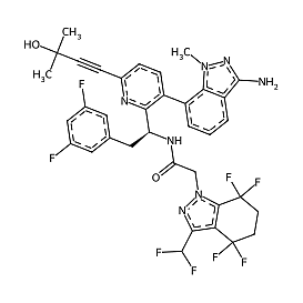 Cn1nc(N)c2cccc(-c3ccc(C#CC(C)(C)O)nc3[C@H](Cc3cc(F)cc(F)c3)NC(=O)Cn3nc(C(F)F)c4c3C(F)(F)CCC4(F)F)c21